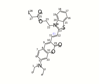 CCN(CC)c1ccc2cc(/C=C/c3sc4ccccc4[n+]3CCOC(=O)CI)c(=O)oc2c1